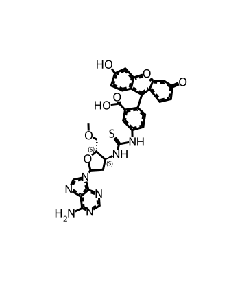 COC[C@H]1OC(n2cnc3c(N)ncnc32)C[C@@H]1NC(=S)Nc1ccc(-c2c3ccc(=O)cc-3oc3cc(O)ccc23)c(C(=O)O)c1